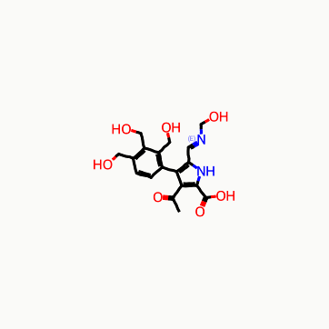 CC(=O)c1c(C(=O)O)[nH]c(/C=N/CO)c1-c1ccc(CO)c(CO)c1CO